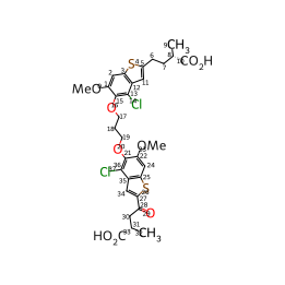 COc1cc2sc(CC[C@H](C)C(=O)O)cc2c(Cl)c1OCCCOc1c(OC)cc2sc(C(=O)C[C@H](C)C(=O)O)cc2c1Cl